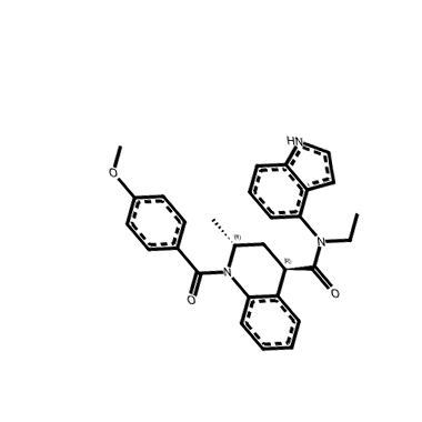 CCN(C(=O)[C@@H]1C[C@@H](C)N(C(=O)c2ccc(OC)cc2)c2ccccc21)c1cccc2[nH]ccc12